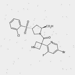 O=C(O)[C@@H]1C[C@@H](S(=O)(=O)c2ccccc2Cl)CN1C(=O)C1(c2ncc(Br)cc2F)CNC1